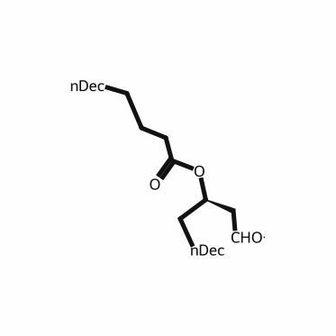 CCCCCCCCCCCCCC(=O)O[C@@H](C[C]=O)CCCCCCCCCCC